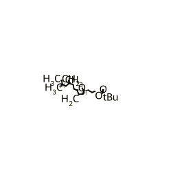 C=C1C[C@H](CCCOC(=O)C(C)(C)C)OC1CCC(C)C[C@@H](C)C(=C)C